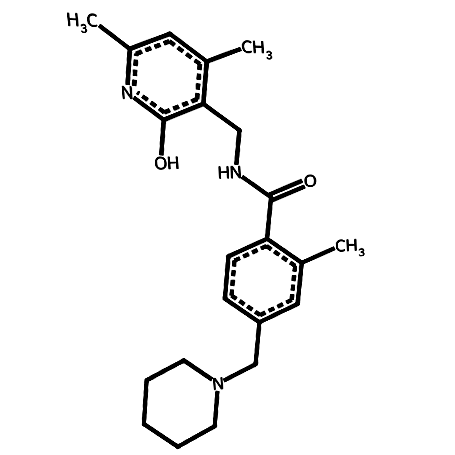 Cc1cc(C)c(CNC(=O)c2ccc(CN3CCCCC3)cc2C)c(O)n1